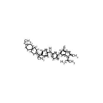 CCN1CCC2(CC1)CCN([C@H](C)c1ccc(Nc3ncc(F)c(-c4cc(F)c5nc(C)n(C(C)C)c5c4)n3)nc1)CC2